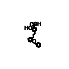 O=C(O)c1ccc(CCCc2ccccc2OCc2ccccc2)cc1O